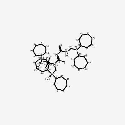 C=C(/N=C(\C)N(CP(=O)(C1CCCCCC1)C1CCCCCC1)C(C)(C)[PH](=O)C1CCCCCC1)NCP(C1CCCCCC1)C1CCCCCC1